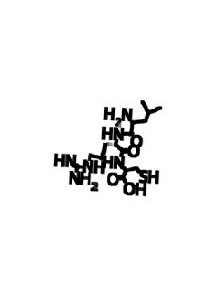 CC(C)C[C@H](N)C(=O)N[C@@H](CCCNC(=N)N)C(=O)N[C@@H](CS)C(=O)O